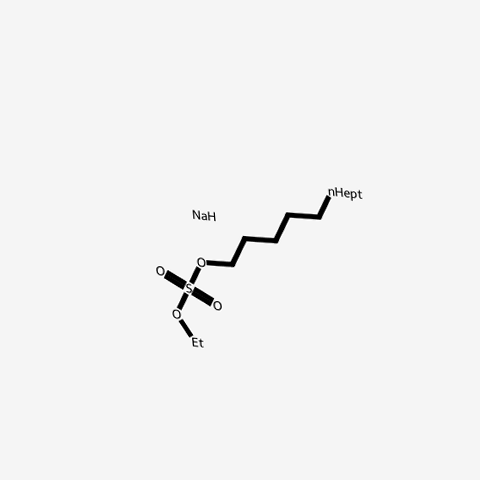 CCCCCCCCCCCCOS(=O)(=O)OCC.[NaH]